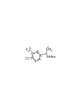 CCCCCCC(C)c1ccc(Cl)c(C(F)(F)F)c1